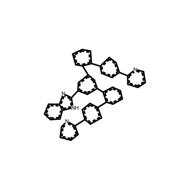 c1ccc(-c2ccc(-c3ccccc3-c3cc(-c4nc5ccccc5[nH]4)cc(-c4ccccc4-c4ccc(-c5ccccn5)cc4)c3)cc2)nc1